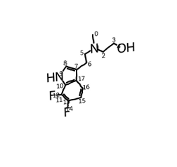 CN(CCO)CCc1c[nH]c2c(F)c(F)ccc12